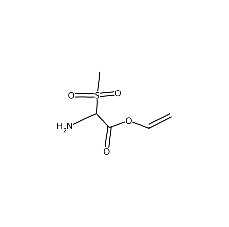 C=COC(=O)C(N)S(C)(=O)=O